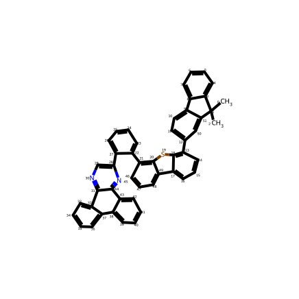 CC1(C)c2ccccc2-c2ccc(-c3cccc4c3sc3c(-c5ccccc5-c5cnc6c7ccccc7c7ccccc7c6n5)cccc34)cc21